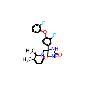 C=C1C(C)=CC=CN1CC1(c2ccc(Oc3ccccc3F)c(F)c2)NC(=O)NC1=O